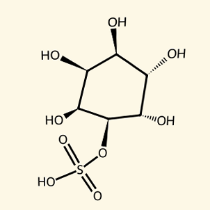 O=S(=O)(O)O[C@H]1[C@@H](O)[C@@H](O)[C@@H](O)[C@H](O)[C@@H]1O